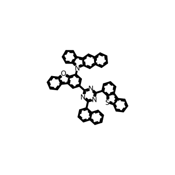 c1ccc2cc3c(cc2c1)c1ccccc1n3-c1cc(-c2nc(-c3cccc4ccccc34)nc(-c3cccc4c3sc3ccccc34)n2)cc2c1oc1ccccc12